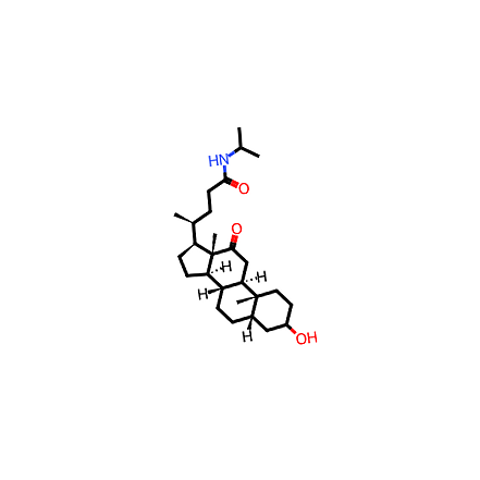 CC(C)NC(=O)CC[C@H](C)[C@@H]1CC[C@@H]2[C@H]3CC[C@H]4CC(O)CC[C@@]4(C)[C@@H]3CC(=O)[C@]21C